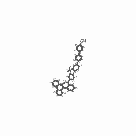 CC1(C)c2cc(-c3ccc(-c4ccc(C#N)cc4)cc3)ccc2-c2ccc(-c3cc4c5ccccc5c5ccccc5c4c4ccccc34)cc21